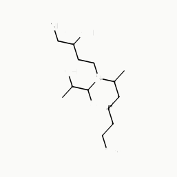 CCCCCCCCCCCCCCC(C)N(CCC(O)CN)C(C(=O)O)C(C)O